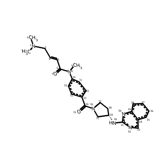 CN(C)C/C=C/C(=O)N(C)c1ccc(C(=O)N2CC[C@H](Nc3ncc4ccccc4n3)C2)cc1